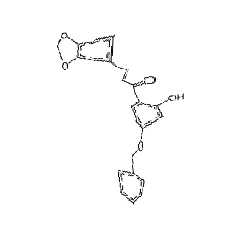 O=C(C=Cc1ccc2c(c1)OCO2)c1ccc(OCc2ccccc2)cc1O